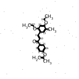 C=C(C)Oc1ccc(C(=O)C=Cc2cc(C)c(OCC)cc2OCC)cc1